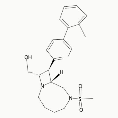 C=C(/C=C\C(=C/C)c1ccccc1C)[C@@H]1[C@@H](CO)N2CCCCN(S(C)(=O)=O)C[C@@H]12